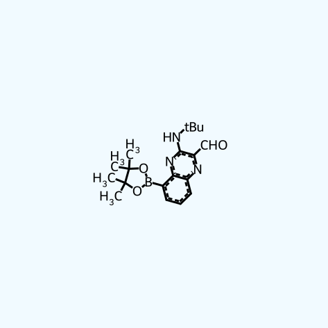 CC(C)(C)Nc1nc2c(B3OC(C)(C)C(C)(C)O3)cccc2nc1C=O